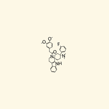 COc1ccc(CC(=O)N2CCc3c4ccccc4[nH]c3[C@]23CC[C@@](c2cccc(F)c2)(N(C)C)CC3)cc1OC